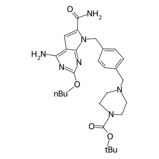 CCCCOc1nc(N)c2cc(C(N)=O)n(Cc3ccc(CN4CCN(C(=O)OC(C)(C)C)CC4)cc3)c2n1